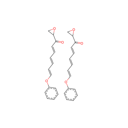 O=C(C=CC=CC=COc1ccccc1)C1CO1.O=C(C=CC=CC=COc1ccccc1)C1CO1